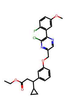 CCOC(=O)CC(c1cccc(OCc2cnc(-c3cc(OC)ccc3F)c(Cl)n2)c1)C1CC1